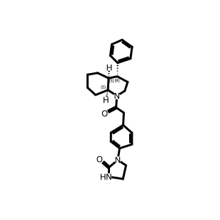 O=C1NCCN1c1ccc(CC(=O)N2CC[C@@H](c3ccccc3)[C@@H]3CCCC[C@@H]32)cc1